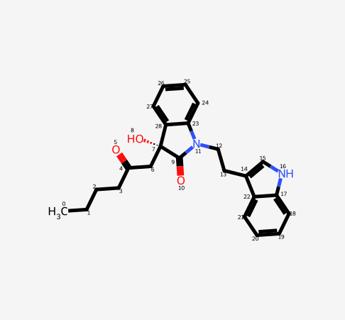 CCCCC(=O)C[C@]1(O)C(=O)N(CCc2c[nH]c3ccccc23)c2ccccc21